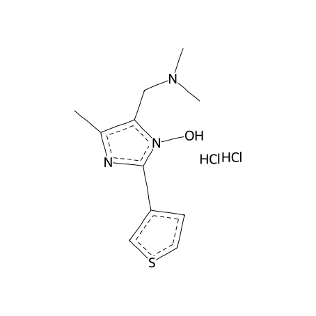 Cc1nc(-c2ccsc2)n(O)c1CN(C)C.Cl.Cl